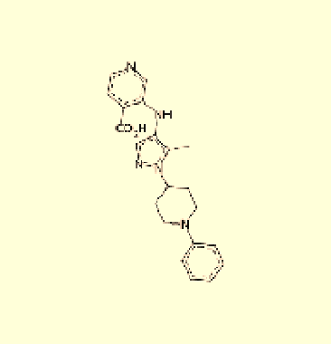 Cc1c(Nc2cnccc2C(=O)O)cnn1C1CCN(c2ccccc2)CC1